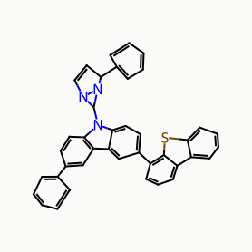 C1=CN2C(n3c4ccc(-c5ccccc5)cc4c4cc(-c5cccc6c5sc5ccccc56)ccc43)N2C1c1ccccc1